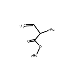 C=CC(CCCC)C(=O)OCCCC